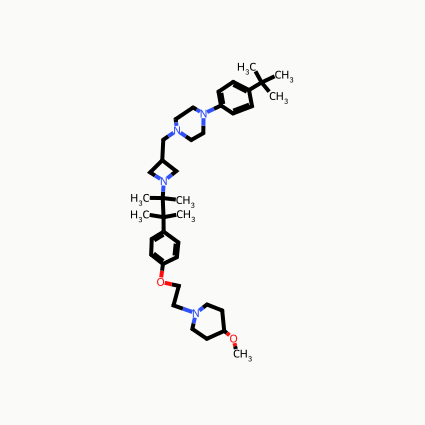 COC1CCN(CCOc2ccc(C(C)(C)C(C)(C)N3CC(CN4CCN(c5ccc(C(C)(C)C)cc5)CC4)C3)cc2)CC1